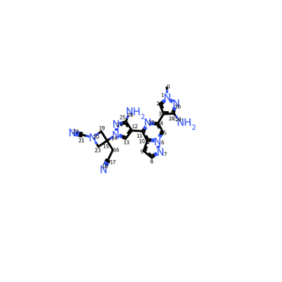 Cn1cc(-c2cn3nccc3c(-c3cn(C4(CC#N)CN(C#N)C4)nc3N)n2)c(N)n1